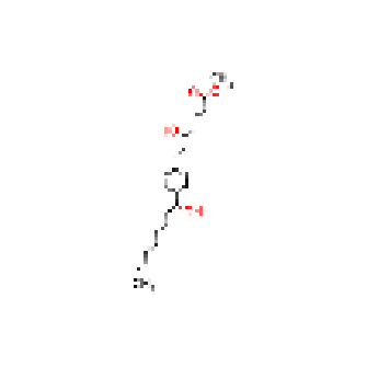 CCCCCCCCC(O)c1ccc(CCC(O)CC=CC(=O)OC)cc1